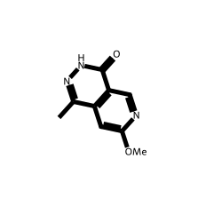 COc1cc2c(C)n[nH]c(=O)c2cn1